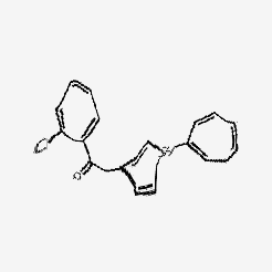 O=C(C1=C[SH](c2cc[c]cc2)C=C1)c1ccccc1Cl